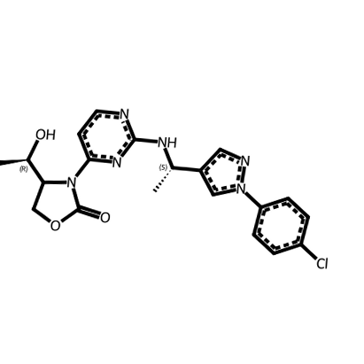 C[C@H](Nc1nccc(N2C(=O)OCC2[C@@H](C)O)n1)c1cnn(-c2ccc(Cl)cc2)c1